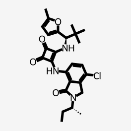 CC[C@@H](C)N1Cc2c(Cl)ccc(Nc3c(N[C@@H](c4ccc(C)o4)C(C)(C)C)c(=O)c3=O)c2C1=O